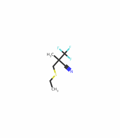 CCSCC(C)(C#N)C(F)(F)F